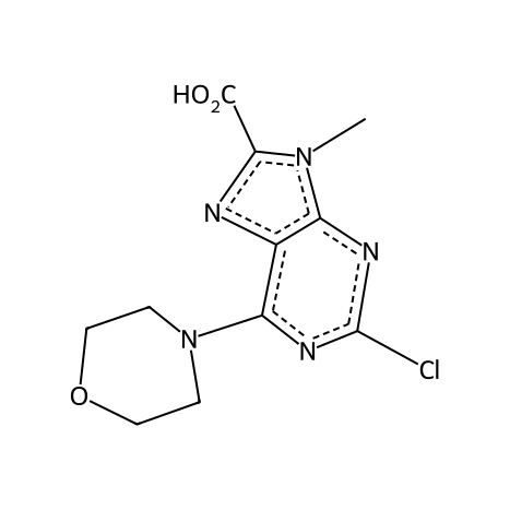 Cn1c(C(=O)O)nc2c(N3CCOCC3)nc(Cl)nc21